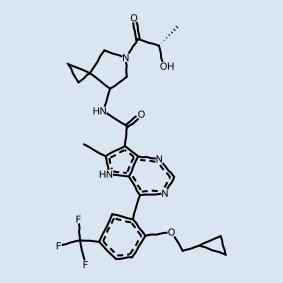 Cc1[nH]c2c(-c3cc(C(F)(F)F)ccc3OCC3CC3)ncnc2c1C(=O)NC1CN(C(=O)[C@H](C)O)CC12CC2